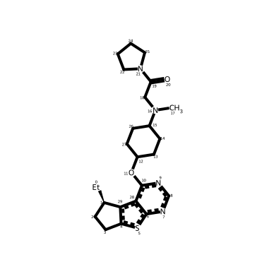 [CH2]C[C@@H]1CCc2sc3ncnc(OC4CCC(N(C)CC(=O)N5CCCC5)CC4)c3c21